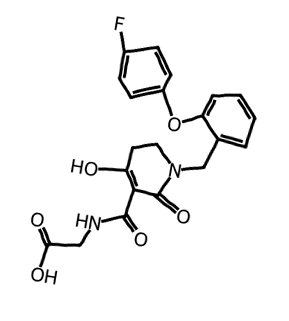 O=C(O)CNC(=O)C1=C(O)CCN(Cc2ccccc2Oc2ccc(F)cc2)C1=O